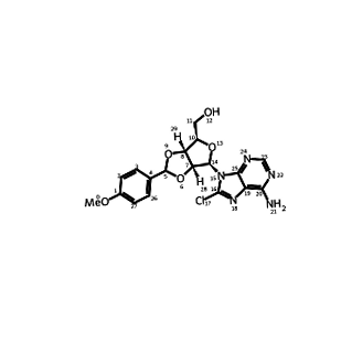 COc1ccc(C2O[C@@H]3[C@H](O2)[C@@H](CO)O[C@H]3n2c(Cl)nc3c(N)ncnc32)cc1